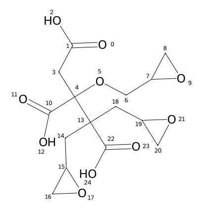 O=C(O)CC(OCC1CO1)(C(=O)O)C(CC1CO1)(CC1CO1)C(=O)O